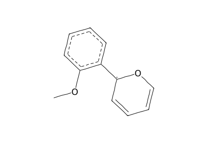 COc1ccccc1[C]1C=CC=CO1